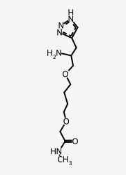 CNC(=O)COCCCCOCC(N)Cc1c[nH]nn1